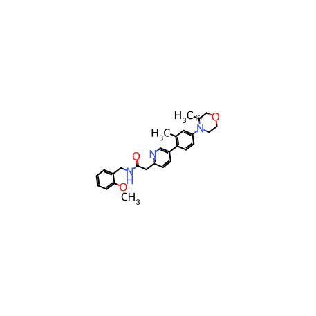 COc1ccccc1CNC(=O)Cc1ccc(-c2ccc(N3CCOC[C@@H]3C)cc2C)cn1